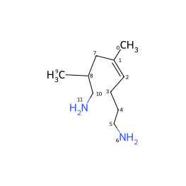 CC(=CCCCN)CC(C)CN